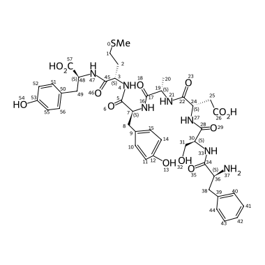 CSCC[C@H](NC(=O)[C@H](Cc1ccc(O)cc1)NC(=O)[C@H](C)NC(=O)[C@H](CC(=O)O)NC(=O)[C@H](CO)NC(=O)[C@@H](N)Cc1ccccc1)C(=O)N[C@@H](Cc1ccc(O)cc1)C(=O)O